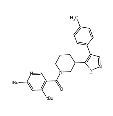 Cc1ccc(-c2cn[nH]c2C2CCCN(C(=O)c3cnc(C(C)(C)C)cc3C(C)(C)C)C2)cc1